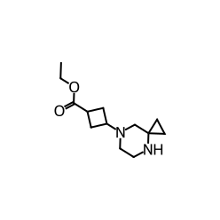 CCOC(=O)C1CC(N2CCNC3(CC3)C2)C1